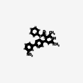 CC1=CC(c2ccc(-c3cccc([N+](=O)[O-])c3)nc2)C(C(=O)OC2CCCCC2)=C(C)N1